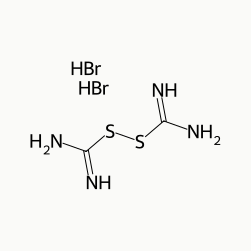 Br.Br.N=C(N)SSC(=N)N